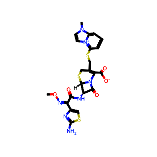 CO/N=C(\C(=O)N[C@@H]1C(=O)N2C(C(=O)[O-])=C(CSc3cccc4n(C)cc[n+]34)CS[C@@H]12)c1csc(N)n1